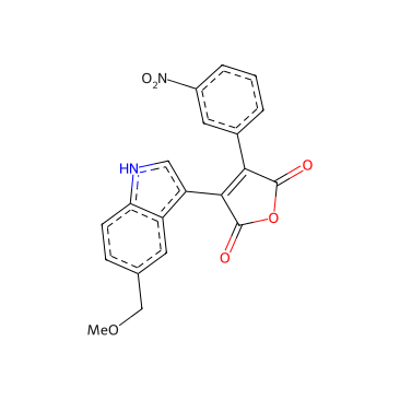 COCc1ccc2[nH]cc(C3=C(c4cccc([N+](=O)[O-])c4)C(=O)OC3=O)c2c1